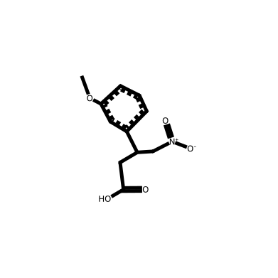 COc1cccc(C(CC(=O)O)C[N+](=O)[O-])c1